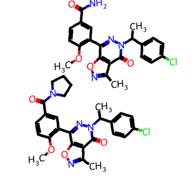 COc1ccc(C(=O)N2CCCC2)cc1-c1nn(C(C)c2ccc(Cl)cc2)c(=O)c2c(C)noc12.COc1ccc(C(N)=O)cc1-c1nn(C(C)c2ccc(Cl)cc2)c(=O)c2c(C)noc12